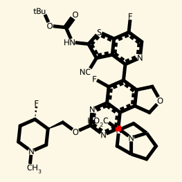 CN1CC[C@H](F)[C@@H](COc2nc(N3C4CCC3CN(C(=O)O)C4)c3c4c(c(-c5ncc(F)c6sc(NC(=O)OC(C)(C)C)c(C#N)c56)c(F)c3n2)COC4)C1